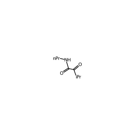 CCCNC(=O)C(=O)C(C)C